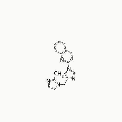 Cc1nccn1Cc1cn(-c2ccc3ccccc3n2)cn1